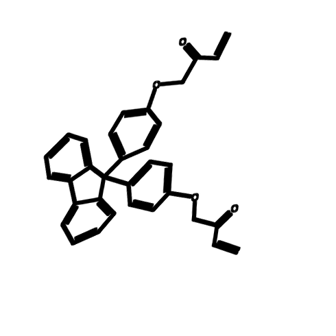 C=CC(=O)COc1ccc(C2(c3ccc(OCC(=O)C=C)cc3)c3ccccc3-c3ccccc32)cc1